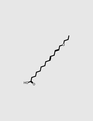 CCCOCC=CCC=CCCCCCCCC(=O)O